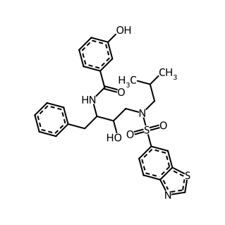 CC(C)CN(CC(O)C(Cc1ccccc1)NC(=O)c1cccc(O)c1)S(=O)(=O)c1ccc2ncsc2c1